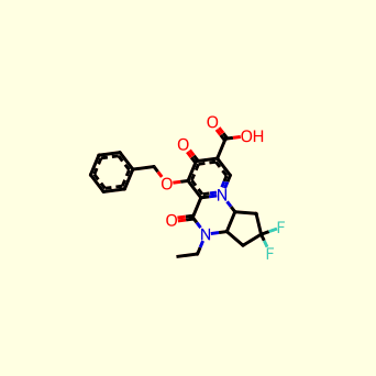 CCN1C(=O)c2c(OCc3ccccc3)c(=O)c(C(=O)O)cn2C2CC(F)(F)CC21